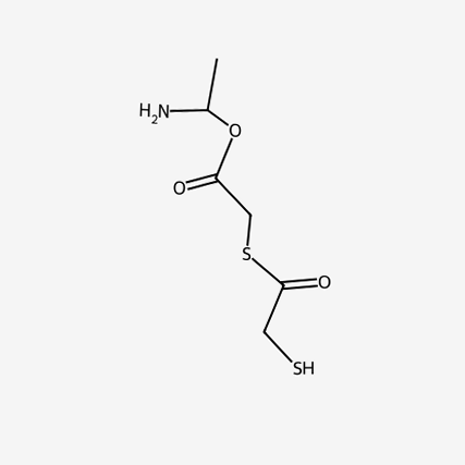 CC(N)OC(=O)CSC(=O)CS